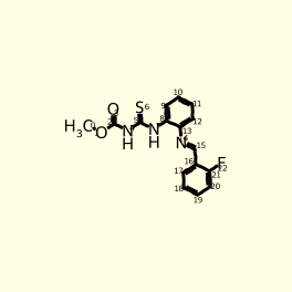 COC(=O)NC(=S)Nc1ccccc1N=Cc1ccccc1F